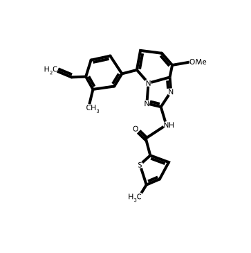 C=Cc1ccc(-c2ccc(OC)c3nc(NC(=O)c4ccc(C)s4)nn23)cc1C